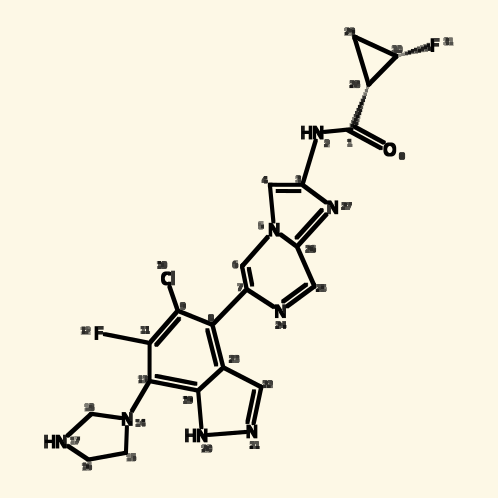 O=C(Nc1cn2cc(-c3c(Cl)c(F)c(N4CCNC4)c4[nH]ncc34)ncc2n1)[C@@H]1C[C@@H]1F